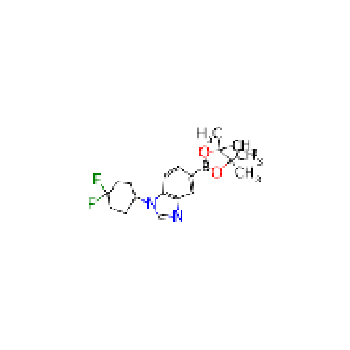 CC1(C)OB(c2ccc3c(c2)ncn3C2CCC(F)(F)CC2)OC1(C)C